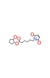 O=C(CCCCCN1C(=O)C=CC1=O)OC1CCCC1=O